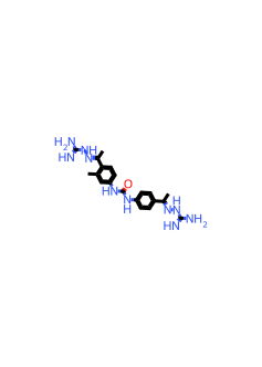 C/C(=N\NC(=N)N)c1ccc(NC(=O)Nc2ccc(/C(C)=N/NC(=N)N)c(C)c2)cc1